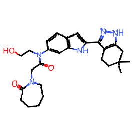 CC1(C)CCc2c(-c3cc4ccc(N(CCO)C(=O)CN5CCCCCC5=O)cc4[nH]3)n[nH]c2C1